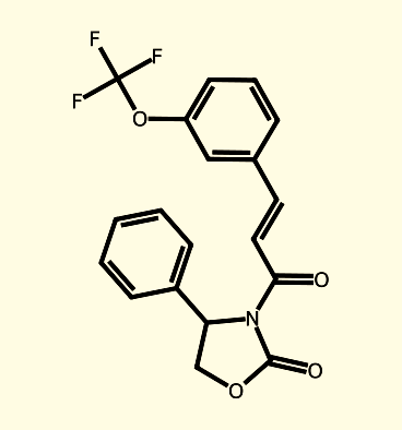 O=C(C=Cc1cccc(OC(F)(F)F)c1)N1C(=O)OCC1c1ccccc1